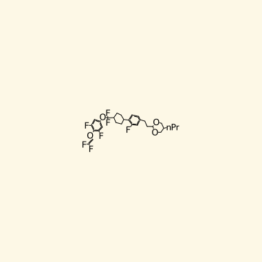 CCCC1COC(CCc2ccc(C3CCC(C(F)(F)Oc4cc(F)c(OC=C(F)F)c(F)c4)CC3)c(F)c2)OC1